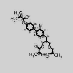 C=C(C)COCC(COC(=O)C(=C)C)Cc1ccc(-c2ccc(OC(=O)C(=C)C)cc2)c(F)c1